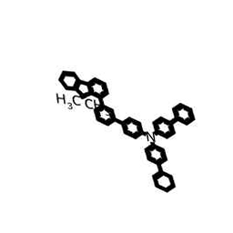 CC1(C)C2=C(C=CCC2)c2cccc(-c3cccc(-c4ccc(N(c5ccc(C6=CCCCC6)cc5)c5ccc(-c6ccccc6)cc5)cc4)c3)c21